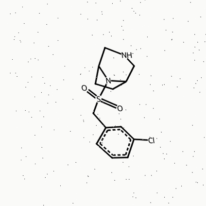 O=S(=O)(Cc1cccc(Cl)c1)N1C2CCC1CNC2